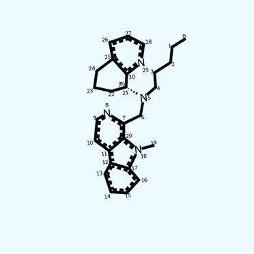 CCCCCN(Cc1nccc2c3ccccc3n(C)c12)[C@@H]1CCCc2cccnc21